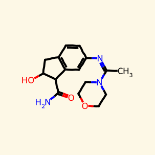 CC(=Nc1ccc2c(c1)C(C(N)=O)C(O)C2)N1CCOCC1